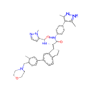 Cc1cc(-c2ccc3c(c2)[C@H]([C@H](NC(=O)c2ccnn2C)C(=O)Nc2ccc(-c4c(C)n[nH]c4C)cc2)CC3)ccc1CN1CCOCC1